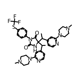 CC(c1ccnc(N2CCN(C)CC2)c1)C1(C(C)c2ccnc(N3CCN(C)CC3)c2)NC(=O)N(c2ccc(SC(F)(F)F)cc2)C1=O